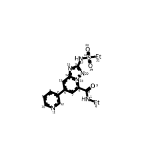 CCNC(=O)c1cc(-c2cccnc2)cc2nc(NS(=O)(=O)CC)nn12